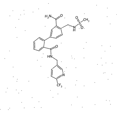 CS(=O)(=O)NCc1ccc(-c2ccccc2C(=O)NCc2ccc(C(F)(F)F)nc2)cc1C(N)=O